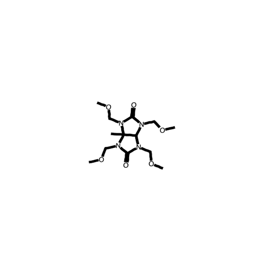 COCN1C(=O)N(COC)C2(C)C1N(COC)C(=O)N2COC